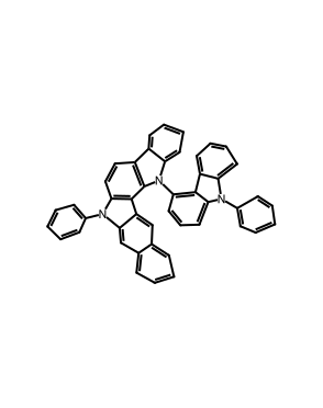 c1ccc(-n2c3ccccc3c3c(-n4c5ccccc5c5ccc6c(c7cc8ccccc8cc7n6-c6ccccc6)c54)cccc32)cc1